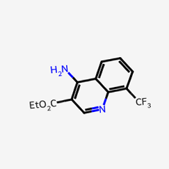 CCOC(=O)c1cnc2c(C(F)(F)F)cccc2c1N